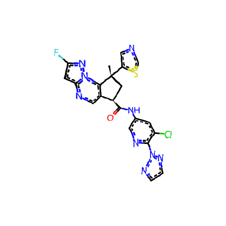 C[C@@]1(c2cncs2)C[C@@H](C(=O)Nc2cnc(-n3nccn3)c(Cl)c2)c2cnc3cc(F)nn3c21